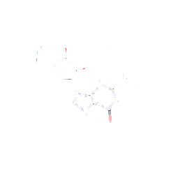 Nc1nc2c(ncn2[C@@H]2O[C@H](CO)[C@@H](O)[C@H]2O)c(=O)[nH]1.P